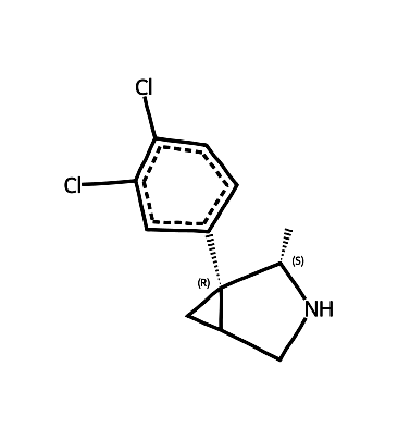 C[C@@H]1NCC2C[C@]21c1ccc(Cl)c(Cl)c1